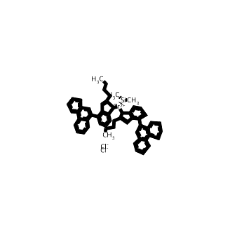 CCCCC1=Cc2c(-c3cc4ccccc4c4ccccc34)cccc2[CH]1[Zr+2]([CH]1C(CCCC)=Cc2c(-c3cc4ccccc4c4ccccc34)cccc21)=[Si](C)C.[Cl-].[Cl-]